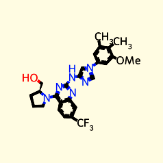 COc1cc(-n2cnc(Nc3nc(N4CCC[C@H]4CO)c4ccc(C(F)(F)F)cc4n3)c2)cc(C)c1C